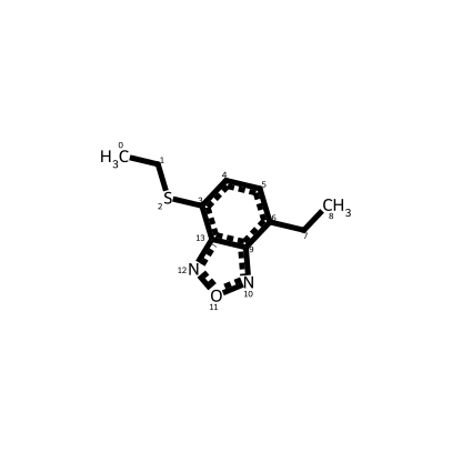 CCSc1ccc(CC)c2nonc12